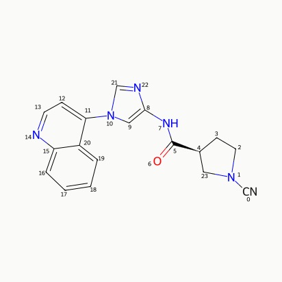 N#CN1CC[C@H](C(=O)Nc2cn(-c3ccnc4ccccc34)cn2)C1